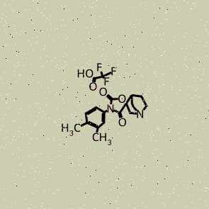 Cc1ccc(N2C(=O)OC3(CN4CCC3CC4)C2=O)cc1C.O=C(O)C(F)(F)F